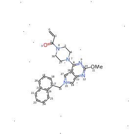 C=CC(=O)N1CCN(c2nc(OC)nc3cn(Cc4cccc5ccccc45)cc23)CC1